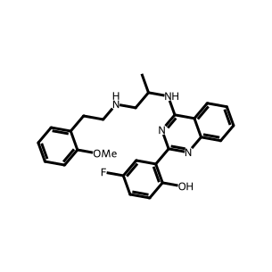 COc1ccccc1CCNCC(C)Nc1nc(-c2cc(F)ccc2O)nc2ccccc12